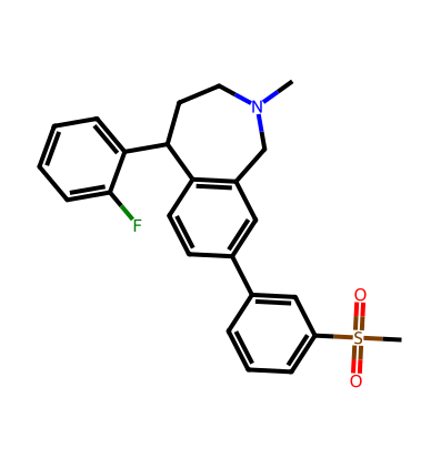 CN1CCC(c2ccccc2F)c2ccc(-c3cccc(S(C)(=O)=O)c3)cc2C1